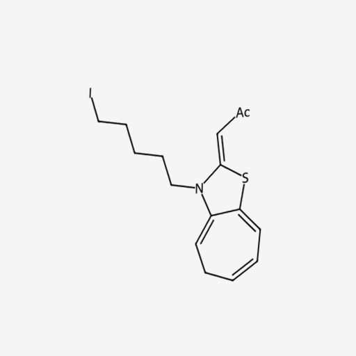 CC(=O)/C=C1\SC2=CC=CCC=C2N1CCCCCI